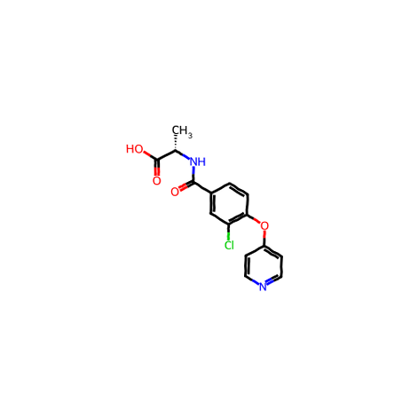 C[C@H](NC(=O)c1ccc(Oc2ccncc2)c(Cl)c1)C(=O)O